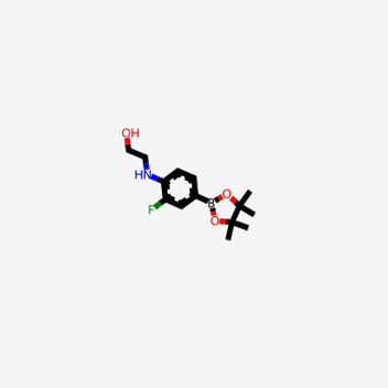 CC1(C)OB(c2ccc(NCCO)c(F)c2)OC1(C)C